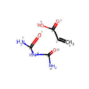 C=CC(=O)O.NC(=O)NC(N)=O